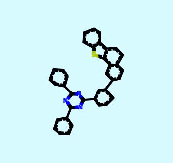 c1ccc(-c2nc(-c3ccccc3)nc(-c3cccc(-c4ccc5ccc6c7ccccc7sc6c5c4)c3)n2)cc1